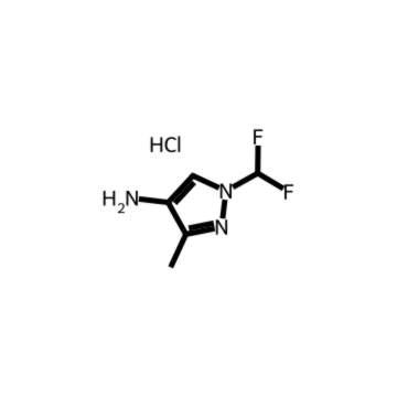 Cc1nn(C(F)F)cc1N.Cl